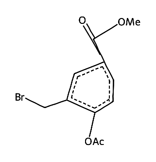 COC(=O)c1ccc(OC(C)=O)c(CBr)c1